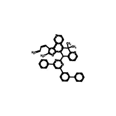 C=C/C=C\c1c(C)oc2c3c(c4ccncc4c12)C(C)(C)c1ncccc1N3c1nc(-c2ccccc2)cc(-c2cccc(-c3ccccc3)c2)n1